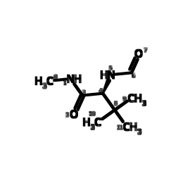 CNC(=O)[C@@H](NC=O)C(C)(C)C